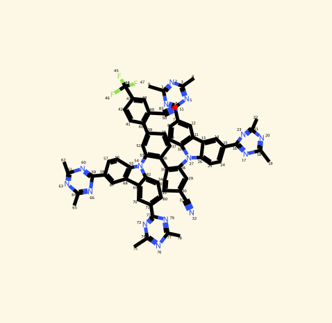 Cc1nc(C)nc(-c2ccc3c(c2)c2cc(-c4nc(C)nc(C)n4)ccc2n3-c2cc(C#N)ccc2-c2ccc(-c3ccc(C(F)(F)F)cc3C#N)cc2-n2c3ccc(-c4nc(C)nc(C)n4)cc3c3cc(-c4nc(C)nc(C)n4)ccc32)n1